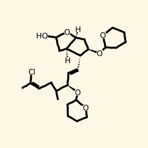 CC(Cl)=CCC(C)[C@@H](C=C[C@@H]1[C@H]2CC(O)O[C@H]2C[C@H]1OC1CCCCO1)OC1CCCCO1